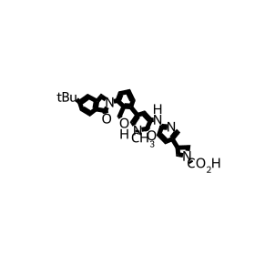 Cn1cc(-c2cccc(N3Cc4cc(C(C)(C)C)ccc4C3=O)c2CO)cc(Nc2ccc(C3CN(C(=O)O)C3)cn2)c1=O